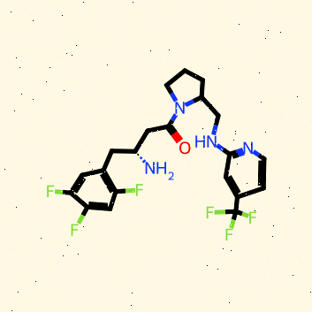 N[C@@H](CC(=O)N1CCCC1CNc1cc(C(F)(F)F)ccn1)Cc1cc(F)c(F)cc1F